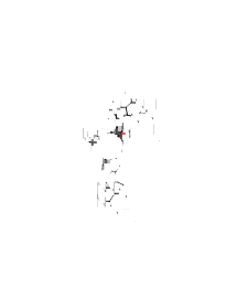 Nc1nc2c(nnn2[C@@H]2OC3CC4C[C@H](c5cnc6c(N)ncnn56)O[C@@H]4COP(O)(=S)O[C@@H]2[C@H]3F)c(=O)[nH]1